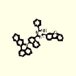 N=C(/N=C(\N=C\c1ccc2c(c1)oc1ccccc12)c1ccc(N2c3cc4ccccc4cc3-c3cccc4cccc2c34)c2ccccc12)c1ccccc1